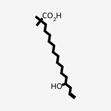 C=CCC(O)CCCCCCCCCCCC(C)(C)C(=O)O